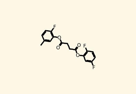 Cc1ccc(F)c(OC(=O)CCC(=O)Oc2cc(F)ccc2F)c1